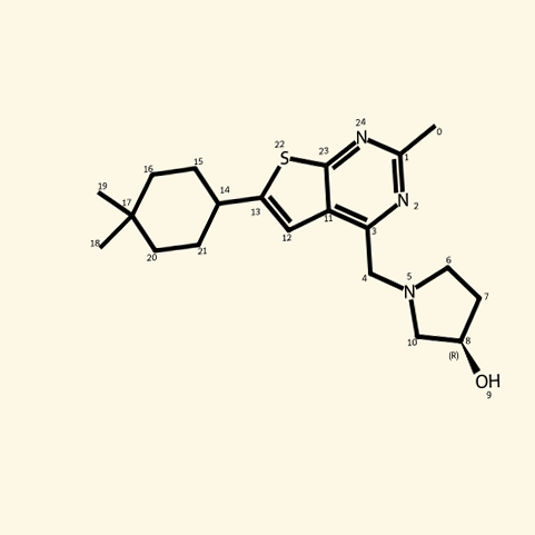 Cc1nc(CN2CC[C@@H](O)C2)c2cc(C3CCC(C)(C)CC3)sc2n1